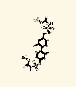 Cc1cc(CNS(=O)(=O)NC(=O)OC(C)(C)C)ccc1-c1ccc(NS(=O)(=O)NC(=O)OC(C)(C)C)cc1C